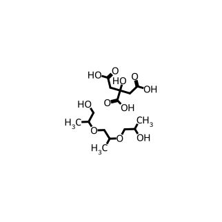 CC(O)COC(C)COC(C)CO.O=C(O)CC(O)(CC(=O)O)C(=O)O